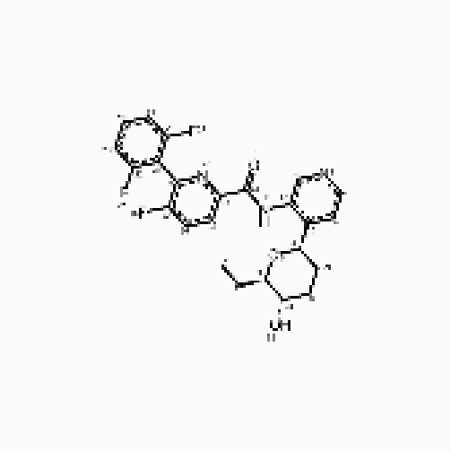 CC[C@H]1O[C@@H](c2ccncc2NC(=O)c2ccc(F)c(-c3c(F)cccc3F)n2)CC[C@@H]1O